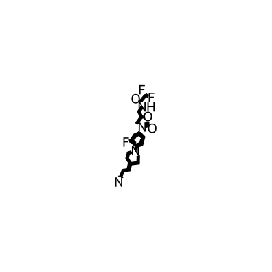 N#CCC=C1CCN(c2ccc(N3CC(CNC(=O)C(F)F)OC3=O)cc2F)CC1